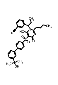 CCCCc1nc(=O)c(S(=O)(=O)c2ccc(-c3cccc(C(C)(C)O)c3)cc2)c(O)n1C(CC)c1cccc(C#N)c1